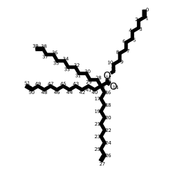 C=CCCCCCCCCCCOC(=O)C(CCCCCCCCCCC=C)(CCCCCCCCCCC=C)CCCCCCCCCCC=C